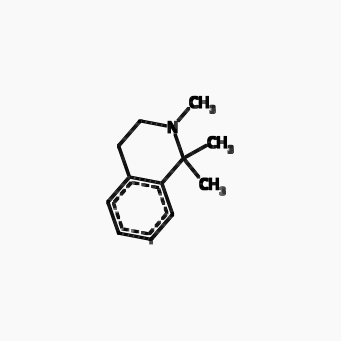 CN1CCc2cc[c]cc2C1(C)C